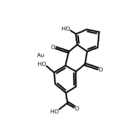 O=C(O)c1cc(O)c2c(c1)C(=O)c1cccc(O)c1C2=O.[Au]